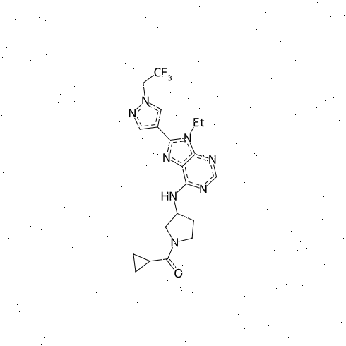 CCn1c(-c2cnn(CC(F)(F)F)c2)nc2c(NC3CCN(C(=O)C4CC4)C3)ncnc21